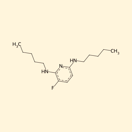 CCCCCNc1ccc(F)c(NCCCCC)n1